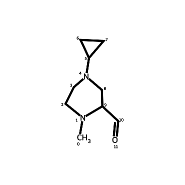 CN1CCN(C2CC2)CC1C=O